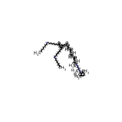 CCCCCCCC/C=C\CCCCCCCC(=O)OCC(CO[PH](=O)OCCNC(=O)CNC(=O)CNC(=O)CNC(=O)/C=C(C)/C=C/C=C(C)/C=C/C1=C(C)CCCC1(C)C)OC(=O)CCCCCCC/C=C\CCCCCCCC